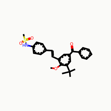 COc1c(C=Cc2ccc(NS(C)(=O)=O)cc2)cc(C(=O)c2ccccc2)cc1C(C)(C)C